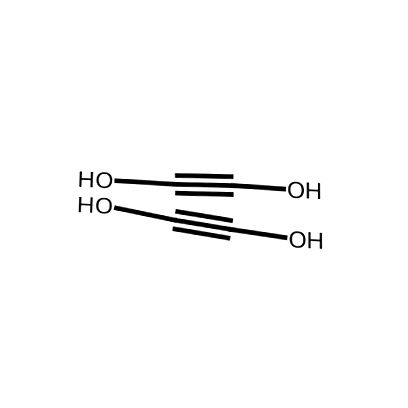 OC#CO.OC#CO